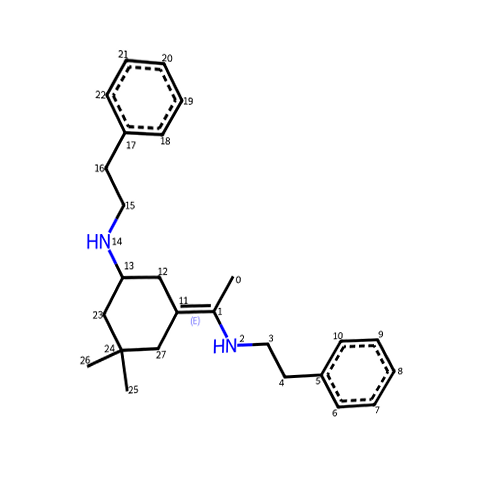 C/C(NCCc1ccccc1)=C1\CC(NCCc2ccccc2)CC(C)(C)C1